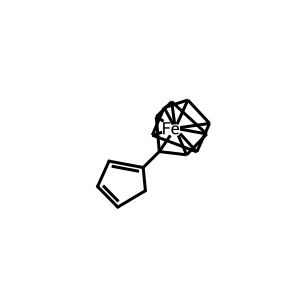 C1=CCC([C]23[CH]4[CH]5[CH]6[CH]2[Fe]56432789[CH]3[CH]2[CH]7[CH]8[CH]39)=C1